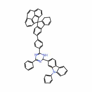 C1=CC2=C(CC1)C1(c3ccc(-c4ccc(C5=NC(c6ccccc6)=NC(c6ccc7c8ccccc8n(-c8ccccc8)c7c6)N5)cc4)cc32)c2cccc3ccc4cccc1c4c23